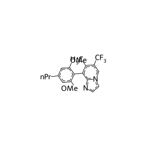 CCCc1cc(OC)c(-c2c(C)c(C(F)(F)F)cn3ccnc23)c(OC)c1